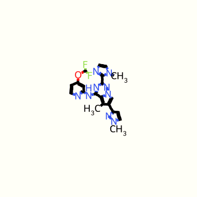 Cc1c(-c2ccn(C)n2)cn2nc(-c3nccn3C)nc(Nc3cc(OC(F)F)ccn3)c12